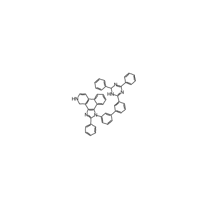 C1=Cc2c(c3nc(-c4ccccc4)n(-c4cccc(-c5cccc(C6=NC(c7ccccc7)=NC(c7ccccc7)N6)c5)c4)c3c3ccccc23)CN1